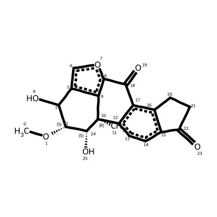 CO[C@@H]1C(O)c2coc3c2[C@@](C)(c2ccc4c(c2C3=O)CCC4=O)[C@@H]1O